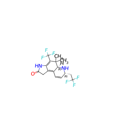 CC1(C)C(C(F)(F)F)=C2NC(=O)CC2=C2C=C[C@@H](CC(F)(F)F)N[C@@H]21